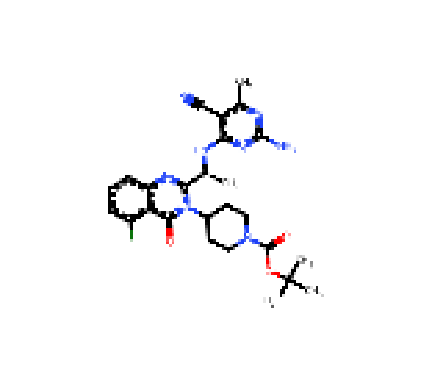 Cc1nc(N)nc(N[C@@H](C)c2nc3cccc(Cl)c3c(=O)n2C2CCN(C(=O)OC(C)(C)C)CC2)c1C#N